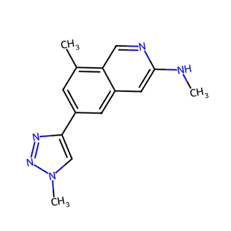 CNc1cc2cc(-c3cn(C)nn3)cc(C)c2cn1